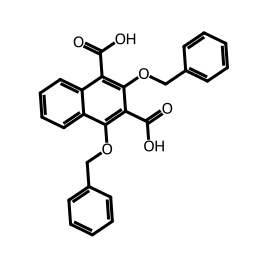 O=C(O)c1c(OCc2ccccc2)c(C(=O)O)c2ccccc2c1OCc1ccccc1